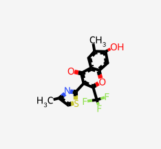 Cc1csc(-c2c(C(F)(F)F)oc3cc(O)c(C)cc3c2=O)n1